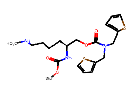 CC(C)(C)OC(=O)N[C@@H](CCCCNC(=O)O)COC(=O)N(Cc1cccs1)Cc1cccs1